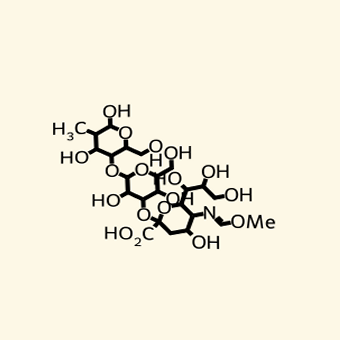 COC=NC1C(O)CC(OC2C(O)C(CO)OC(OC3C(CO)OC(O)C(C)C3O)C2O)(C(=O)O)OC1C(O)C(O)CO